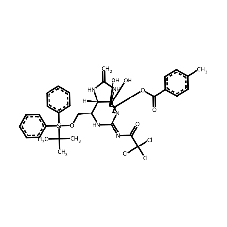 C=C1N[C@H]2[C@H](CO[Si](c3ccccc3)(c3ccccc3)C(C)(C)C)N/C(=N/C(=O)C(Cl)(Cl)Cl)N3CC(OC(=O)c4ccc(C)cc4)C(O)(O)C23N1